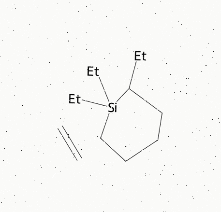 C=C.CCC1CCCC[Si]1(CC)CC